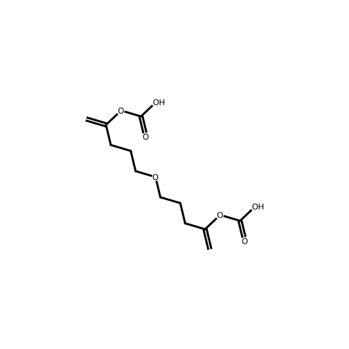 C=C(CCCOCCCC(=C)OC(=O)O)OC(=O)O